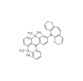 CC1(C)c2ccccc2N2c3ccc(N4C5=C(C=CC6=C4CCC=C6)CCC=C5)cc3C(C)(C)c3cccc1c32